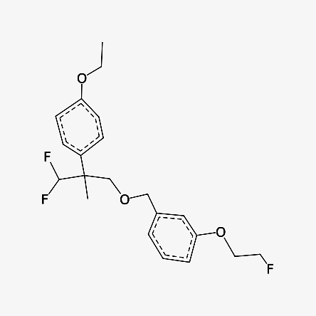 CCOc1ccc(C(C)(COCc2cccc(OCCF)c2)C(F)F)cc1